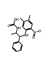 Cc1cc(NC(c2ccccc2)C(C)NC(=O)O)c([N+](=O)[O-])cc1C